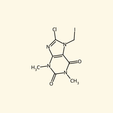 Cn1c(=O)c2c(nc(Cl)n2CI)n(C)c1=O